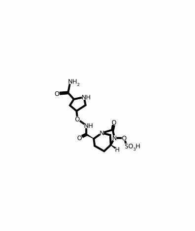 NC(=O)C1CC(ONC(=O)[C@@H]2CC[C@@H]3CN2C(=O)N3OS(=O)(=O)O)CN1